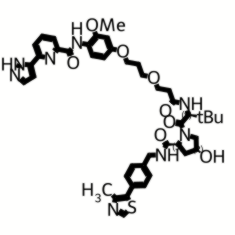 COc1cc(OCCCOCCC(=O)N[C@H](C(=O)N2C[C@H](O)C[C@H]2C(=O)NCc2ccc(-c3scnc3C)cc2)C(C)(C)C)ccc1NC(=O)c1cccc(-c2ccn[nH]2)n1